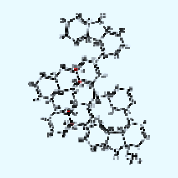 CC12CC=CC(c3cccc(N(c4cccc(-c5cccc6sc7ccccc7c56)c4)c4ccccc4-c4cccc5cccc(-c6ccccc6)c45)c3)=C1c1ccccc1S2